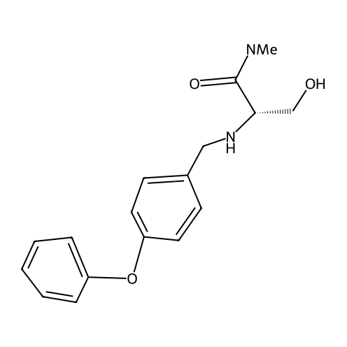 CNC(=O)[C@H](CO)NCc1ccc(Oc2ccccc2)cc1